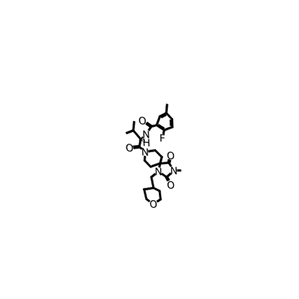 Cc1ccc(F)c(C(=O)N[C@@H](C(=O)N2CCC3(CC2)C(=O)N(C)C(=O)N3CC2CCOCC2)C(C)C)c1